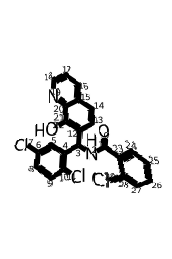 O=C(NC(c1cc(Cl)ccc1Cl)c1ccc2cccnc2c1O)c1ccccc1Cl